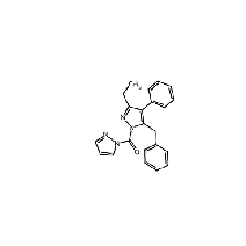 CCc1nn(C(=O)n2cccn2)c(Cc2ccccc2)c1-c1ccccc1